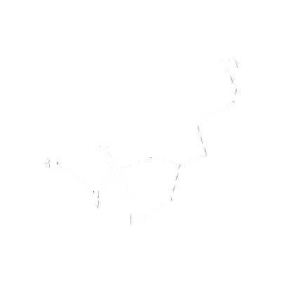 CCCCC(CC)CS(=O)(=O)NC